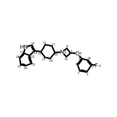 Fc1cccc(OC2CN(C3CCC(c4c[nH]c5ccccc45)CC3)C2)c1